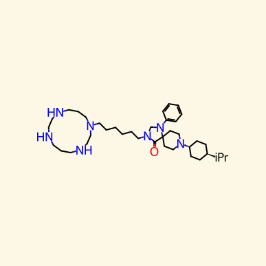 CC(C)[C@H]1CC[C@@H](N2CCC3(CC2)C(=O)N(CCCCCCN2CCCNCCNCCCNCC2)CN3c2ccccc2)CC1